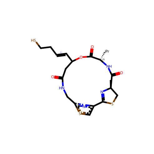 CC(C)[C@@H]1NC(=O)C2(C)CSC(=N2)c2csc(n2)CNC(=O)CC(/C=C/CCS)OC1=O